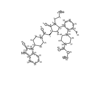 CC(C)(C)CCN1C(=O)[C@H](CC(=O)N2CCC(n3c(=O)[nH]c4ncccc43)CC2)SC1c1cccc(F)c1N1CCN(C(=O)OC(C)(C)C)CC1